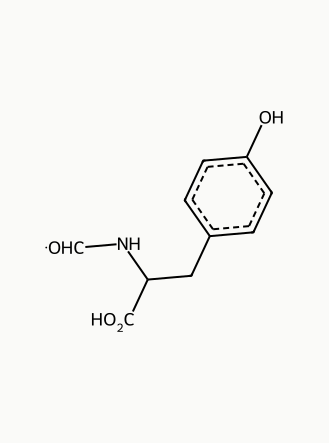 O=[C]NC(Cc1ccc(O)cc1)C(=O)O